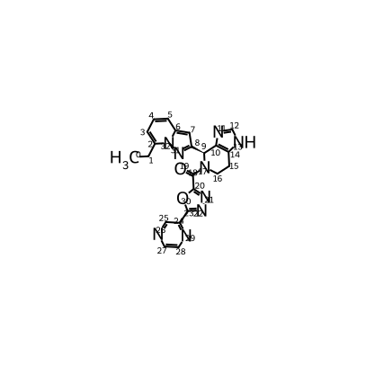 CCc1cccc2cc([C@H]3c4nc[nH]c4CCN3C(=O)c3nnc(-c4cnccn4)o3)nn12